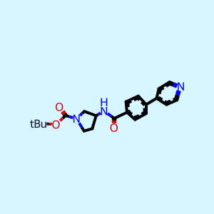 CC(C)(C)OC(=O)N1CCC(NC(=O)c2ccc(-c3ccncc3)cc2)C1